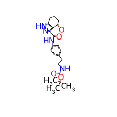 CC(C)(C)OC(=O)NCCc1ccc(NC(=O)c2n[nH]c3c2C(=O)CCC3)cc1